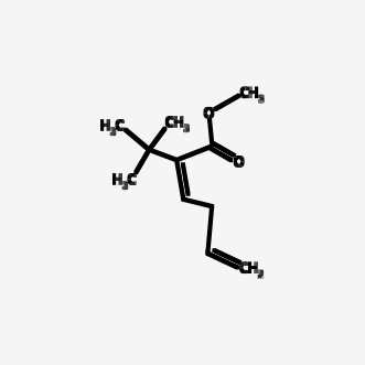 C=CCC=C(C(=O)OC)C(C)(C)C